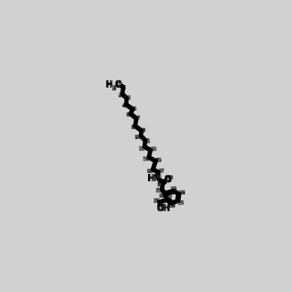 CCCCCCCCCCCCCCCCCCNC(=O)Cc1ccccc1CO